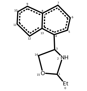 CCC1NC(c2cccc3ccccc23)CO1